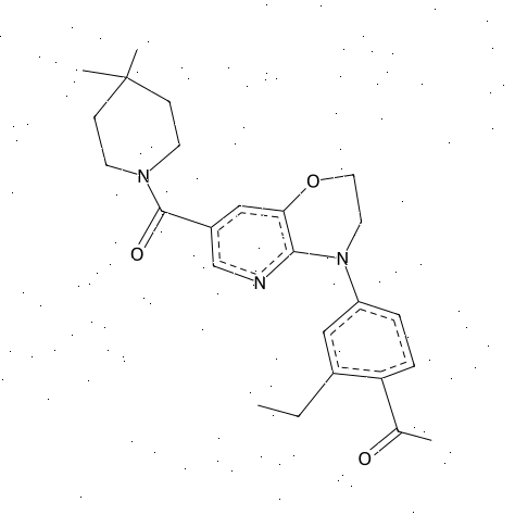 CCc1cc(N2CCOc3cc(C(=O)N4CCC(C)(C)CC4)cnc32)ccc1C(C)=O